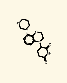 O=C1CCC(N2CCOc3c([C@H]4CCCNC4)cccc32)C(=O)N1